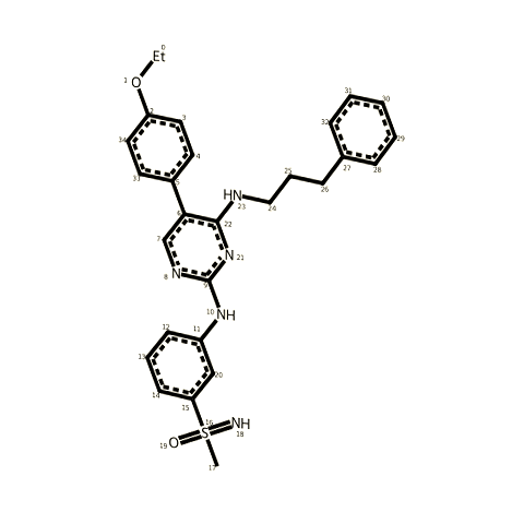 CCOc1ccc(-c2cnc(Nc3cccc(S(C)(=N)=O)c3)nc2NCCCc2ccccc2)cc1